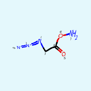 [N-]=[N+]=NCC(=O)ON